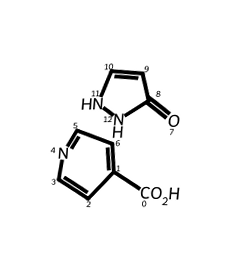 O=C(O)c1ccncc1.O=c1cc[nH][nH]1